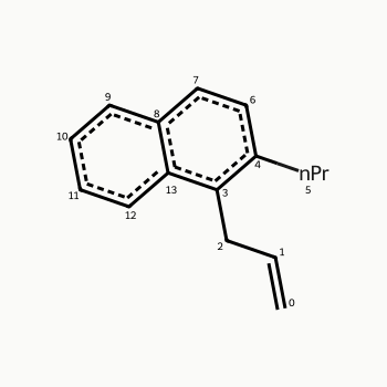 C=CCc1c(CCC)ccc2ccccc12